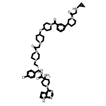 NC1(C(=O)N[C@@H](CCN2CCN(C(=O)CN3CCC(OC4CCN(C(=O)c5cccc(C6CCCN(C(=O)CNC7CC7)C6)c5)CC4)CC3)CC2)c2ccc(Cl)cc2)CCN(c2ncnc3[nH]ccc23)CC1